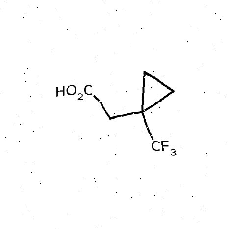 O=C(O)CC1(C(F)(F)F)CC1